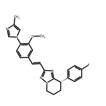 COc1cc(/C=C/c2nc3n(n2)CCC[C@H]3c2ccc(F)cc2)ccc1-n1cnc(C)c1